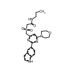 CCCNC(=O)CS(=O)(=O)Cc1cc(N2CCOCC2)nc(-c2ccc3[nH]ccc3c2)n1